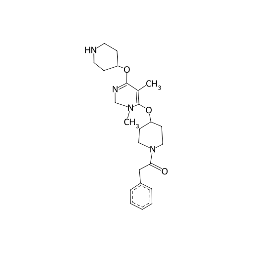 CC1=C(OC2CCN(C(=O)Cc3ccccc3)CC2)N(C)CN=C1OC1CCNCC1